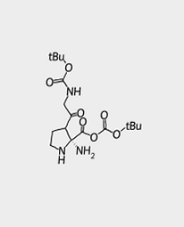 CC(C)(C)OC(=O)NCC(=O)C1CCN[C@]1(N)C(=O)OC(=O)OC(C)(C)C